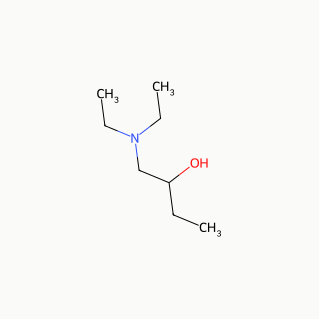 CCC(O)CN(CC)CC